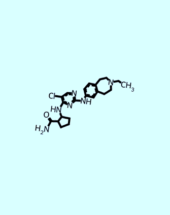 CCN1CCc2ccc(Nc3ncc(Cl)c(NC4CCCC4C(N)=O)n3)cc2CC1